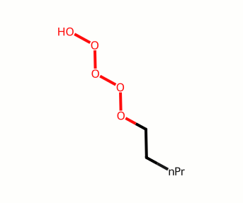 CCCCCOOOOO